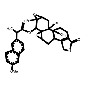 COc1ccc2cc(C(C)C(=O)OC3C4(C(C)C)OC4CC4(O)C5(C)CCC6=C(COC6=O)C5CC5OC534)ccc2c1